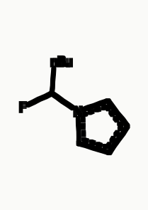 CCCCC(F)n1cccc1